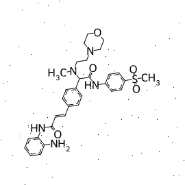 CN(CCN1CCOCC1)C(C(=O)Nc1ccc(S(C)(=O)=O)cc1)c1ccc(C=CC(=O)Nc2ccccc2N)cc1